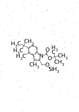 Cc1c(C(C)(C)C)ccc2c1c(C)c(CO[SiH3])n2C(=O)OC(C)(C)C